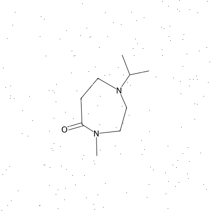 CC(C)N1CCC(=O)N(C)CC1